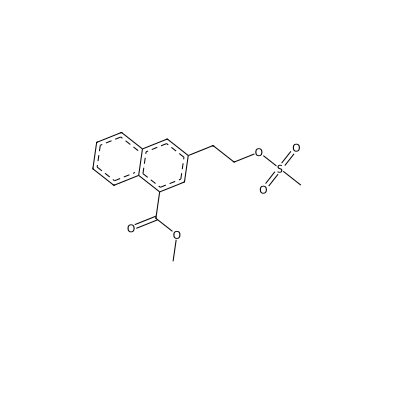 COC(=O)c1cc(CCOS(C)(=O)=O)cc2ccccc12